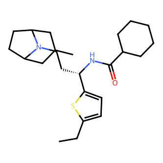 CCc1ccc([C@H](CCN2C3CCC2CC(C)C3)NC(=O)C2CCCCC2)s1